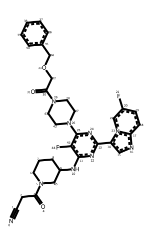 N#CCC(=O)N1CCCC(Nc2nc(-c3cnc4ccc(F)cn34)nc(N3CCN(C(=O)COCc4ccccc4)CC3)c2F)C1